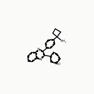 Cl.NC1(c2ccc(-c3nc4ccccc4nc3-c3ccccc3)cc2)CCC1